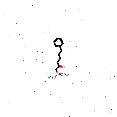 COP(CC(=O)CCCCc1ccccc1)OC